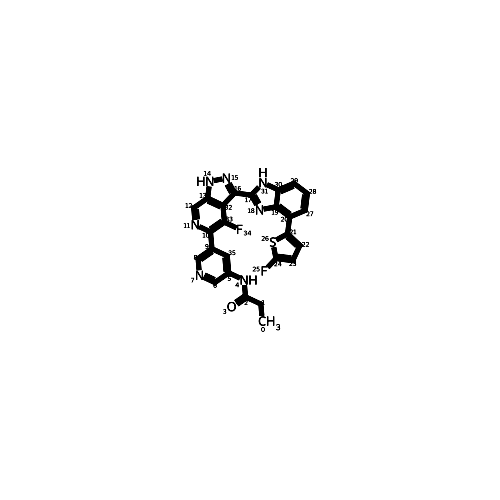 CCC(=O)Nc1cncc(-c2ncc3[nH]nc(-c4nc5c(-c6ccc(F)s6)cccc5[nH]4)c3c2F)c1